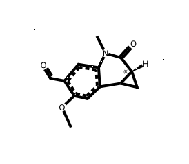 COc1cc2c(cc1C=O)N(C)C(=O)[C@@H]1CC21